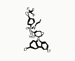 CCCN=S(=O)(NC1=CCOC[C@H](n2c3ccc(Cl)cc3c3cc(Cl)ccc32)[C@H]1O)c1ccc(OC(F)(F)F)cc1